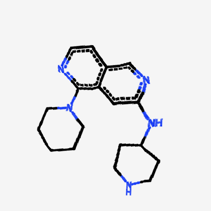 c1cc2cnc(NC3CCNCC3)cc2c(N2CCCCC2)n1